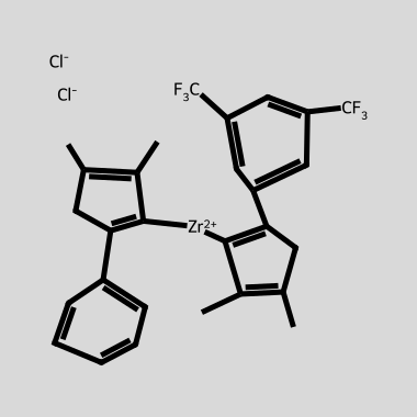 CC1=C(C)[C]([Zr+2][C]2=C(c3cc(C(F)(F)F)cc(C(F)(F)F)c3)CC(C)=C2C)=C(c2ccccc2)C1.[Cl-].[Cl-]